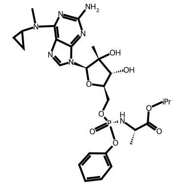 CC(C)OC(=O)[C@H](C)N[P@](=O)(OC[C@H]1O[C@@H](n2cnc3c(N(C)C4CC4)nc(N)nc32)[C@](C)(O)[C@@H]1O)Oc1ccccc1